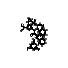 O=C(Cn1nc(C(F)F)c2c1C(F)(F)C1CC21)N[C@@H](Cc1cc(F)cc(F)c1)c1ncccc1-c1ccc2ncccc2c1